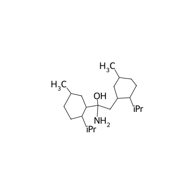 CC1CCC(C(C)C)C(CC(N)(O)C2CC(C)CCC2C(C)C)C1